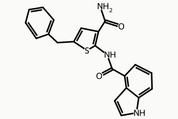 NC(=O)c1cc(Cc2ccccc2)sc1NC(=O)c1cccc2[nH]ccc12